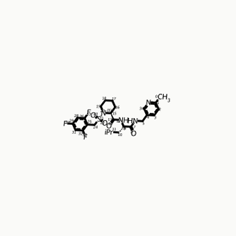 Cc1ccc(CNC(=O)[C@H](CC(C)C)NC(=O)[C@@H]2CCCCN2S(=O)(=O)Cc2c(F)cc(F)cc2F)cn1